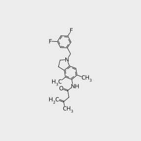 C=C(C)CC(=O)Nc1c(C)cc2c(c1C)CCN2Cc1cc(F)cc(F)c1